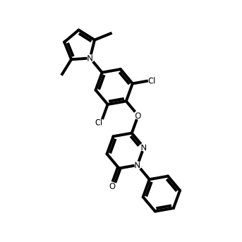 Cc1ccc(C)n1-c1cc(Cl)c(Oc2ccc(=O)n(-c3ccccc3)n2)c(Cl)c1